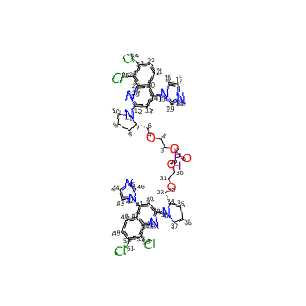 O=[PH](OCCOC[C@@H]1CCCN1c1cc(-n2ccnc2)c2ccc(Cl)c(Cl)c2n1)OCCOC[C@@H]1CCCN1c1cc(-n2ccnc2)c2ccc(Cl)c(Cl)c2n1